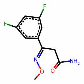 CO/N=C(\CC(N)=O)c1cc(F)cc(F)c1